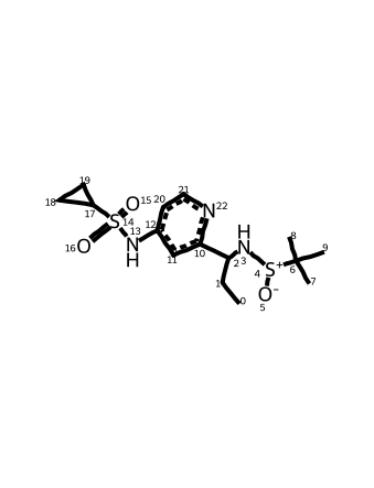 CCC(N[S+]([O-])C(C)(C)C)c1cc(NS(=O)(=O)C2CC2)ccn1